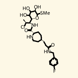 CSC1O[C@H]([C@H](NC(=O)[C@@H]2CC[C@H](CCC(=O)NCc3ccc(F)cc3)CCN2)[C@H](C)Cl)C(O)C(O)[C@H]1O